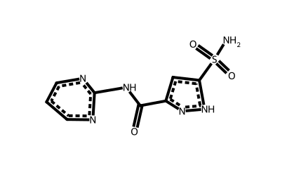 NS(=O)(=O)c1cc(C(=O)Nc2ncccn2)n[nH]1